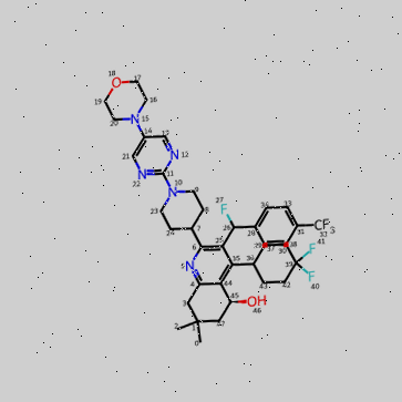 CC1(C)Cc2nc(C3CCN(c4ncc(N5CCOCC5)cn4)CC3)c(C(F)c3ccc(C(F)(F)F)cc3)c(C3CCC(F)(F)CC3)c2[C@@H](O)C1